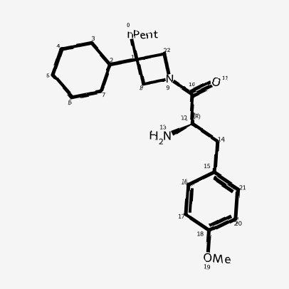 CCCCCC1(C2CCCCC2)CN(C(=O)[C@H](N)Cc2ccc(OC)cc2)C1